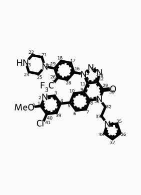 COc1ncc(-c2ccc3c(c2)c2c(nnn2-c2ccc(N4CCNCC4)c(C(F)(F)F)c2)c(=O)n3CCn2cccc2)cc1Cl